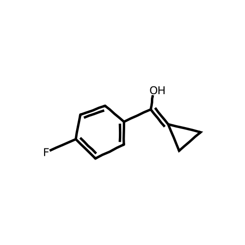 OC(=C1CC1)c1ccc(F)cc1